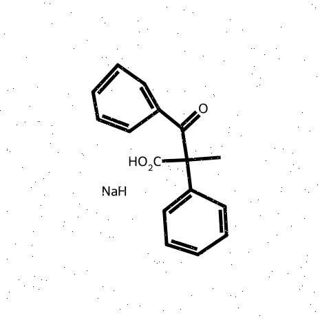 CC(C(=O)O)(C(=O)c1ccccc1)c1ccccc1.[NaH]